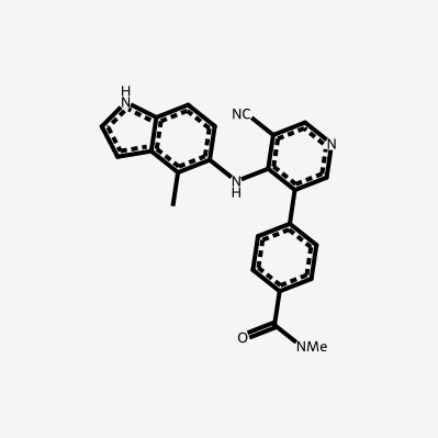 CNC(=O)c1ccc(-c2cncc(C#N)c2Nc2ccc3[nH]ccc3c2C)cc1